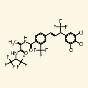 C=C(NC(=O)c1ccc(/C=C/C(c2cc(Cl)c(Cl)c(Cl)c2)C(F)(F)F)cc1C(F)(F)F)C(=O)NC(C(F)(F)F)C(F)(F)F